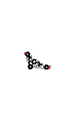 OC(COc1ccc(F)cc1)CN1CCC(N(Cc2ccccc2)c2nc3ccccc3s2)CC1